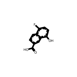 O=C(O)c1ccc2c(F)ccc(O)c2c1